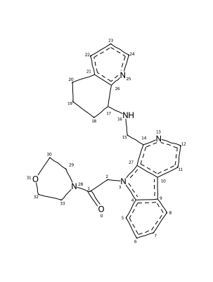 O=C(Cn1c2ccccc2c2ccnc(CNC3CCCc4cccnc43)c21)N1CCOCC1